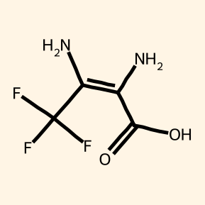 N/C(C(=O)O)=C(\N)C(F)(F)F